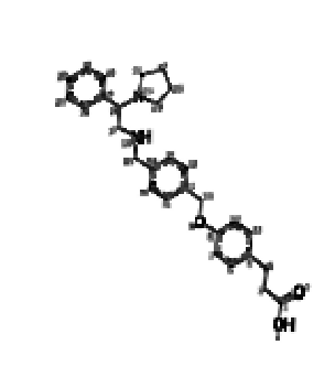 O=C(O)CCc1ccc(OCc2ccc(CNCC(c3ccccc3)N3CCCC3)cc2)cc1